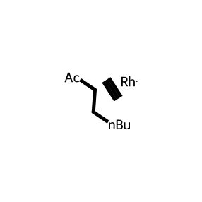 C#C.CCCCCCC(C)=O.[Rh]